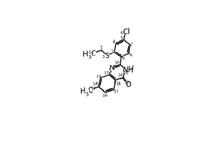 CCSc1cc(Cl)ccc1-c1nc2cc(C)ccc2c(=O)[nH]1